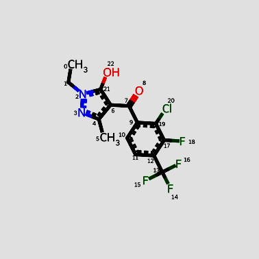 CCn1nc(C)c(C(=O)c2ccc(C(F)(F)F)c(F)c2Cl)c1O